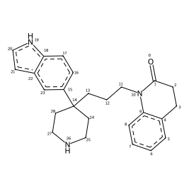 O=C1CCc2ccccc2N1CCCC1(c2ccc3[nH]ccc3c2)CCNCC1